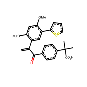 C=C(C(=O)c1ccc(C(C)(C)C(=O)O)cc1)c1cc(-c2cccs2)c(OC)cc1OC